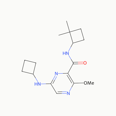 COc1ncc(NC2CCC2)nc1C(=O)NC1CCC1(C)C